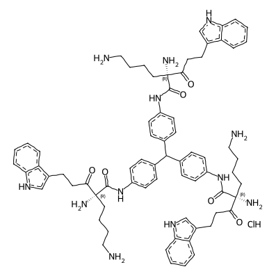 Cl.NCCCC[C@@](N)(C(=O)CCc1c[nH]c2ccccc12)C(=O)Nc1ccc(C(c2ccc(NC(=O)[C@@](N)(CCCCN)C(=O)CCc3c[nH]c4ccccc34)cc2)c2ccc(NC(=O)[C@@](N)(CCCCN)C(=O)CCc3c[nH]c4ccccc34)cc2)cc1